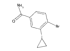 NC(=O)c1ccc(Br)c(C2CC2)c1